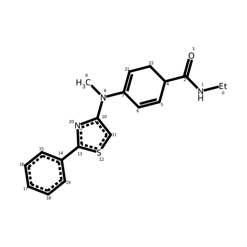 CCNC(=O)C1C=CC(N(C)c2csc(-c3ccccc3)n2)=CC1